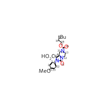 COc1ccc(-n2c(C(=O)O)c3n(c2=O)CCN(C(=O)OCCC(C)(C)C)C3)cc1